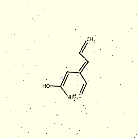 C=C/C=C(C=C)\C=C(/N)O